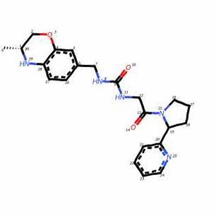 C[C@@H]1COc2cc(CNC(=O)NCC(=O)N3CCCC3c3ccccn3)ccc2N1